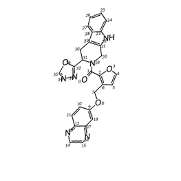 O=C(c1occc1COc1ccc2nccnc2c1)N1Cc2[nH]c3ccccc3c2CC1c1nnco1